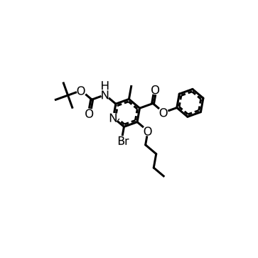 CCCCOc1c(Br)nc(NC(=O)OC(C)(C)C)c(C)c1C(=O)Oc1ccccc1